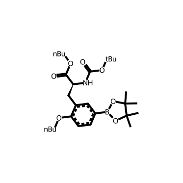 CCCCOC(=O)[C@H](Cc1cc(B2OC(C)(C)C(C)(C)O2)ccc1OCCCC)NC(=O)OC(C)(C)C